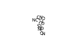 N#CC(C#N)=C1/C(=C/c2cc3oc(-c4cccnc4)nc3s2)C(=O)c2ccccc21